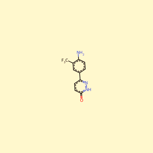 Nc1ccc(-c2ccc(=O)[nH]n2)cc1C(F)(F)F